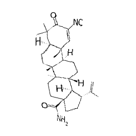 [C-]#[N+]C1=C[C@]2(C)[C@H]3CC[C@@H]4[C@H]5[C@H](C(=C)C)CC[C@]5(C(N)=O)CC[C@@]4(C)[C@]3(C)CC[C@H]2C(C)(C)C1=O